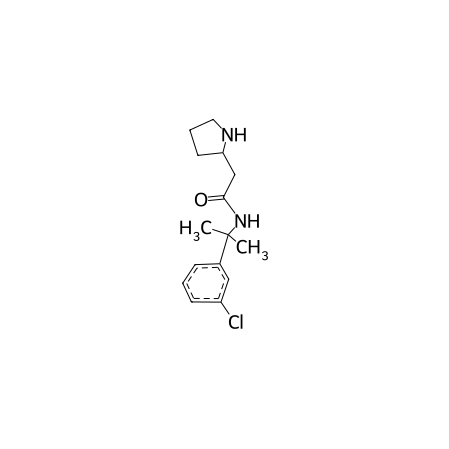 CC(C)(NC(=O)CC1CCCN1)c1cccc(Cl)c1